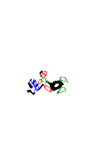 C=O.CC=O.CCCN(CCOc1c(Cl)cc(Cl)cc1Cl)C(=O)n1ccnc1